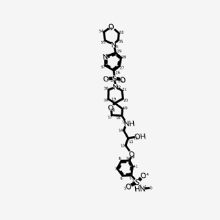 CNS(=O)(=O)c1cccc(OCC(O)CNC2COC3(CCN(S(=O)(=O)c4ccc(N5CCOCC5)nc4)CC3)C2)c1